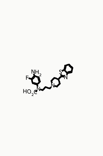 Nc1ccc(N(CCCN2CCC(c3nc4ccccc4s3)CC2)C(=O)O)cc1F